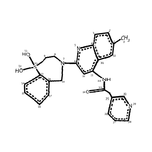 Cc1ccc2nc(N3CCS(O)(O)c4ccccc4C3)cc(NC(=O)c3cccnc3)c2c1